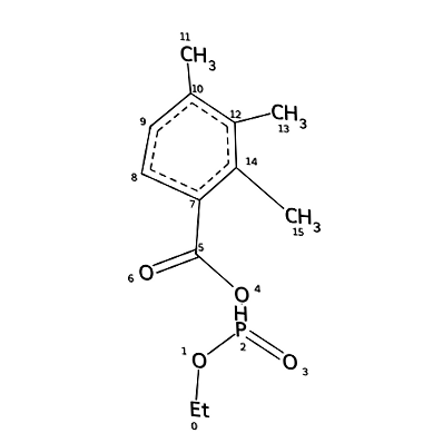 CCO[PH](=O)OC(=O)c1ccc(C)c(C)c1C